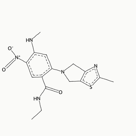 CCNC(=O)c1cc([N+](=O)[O-])c(NC)cc1N1Cc2nc(C)sc2C1